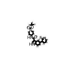 CC(C)(C)OC(=O)N1CCC(NC(=O)c2c[nH]c3ccc(-c4cccnc4F)cc23)CC1